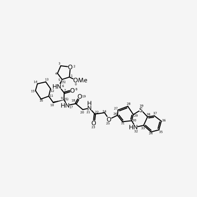 COC1OCC[C@@H]1NC(=O)[C@H](CC1CCCCC1)NC(=O)CNC(=O)COc1ccc2c(c1)Nc1ccccc1S2